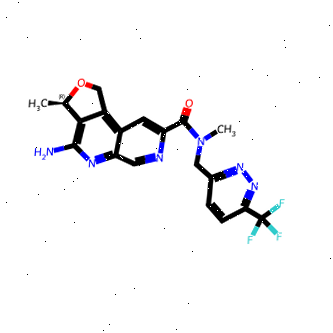 C[C@H]1OCc2c1c(N)nc1cnc(C(=O)N(C)Cc3ccc(C(F)(F)F)nn3)cc21